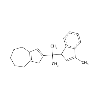 CC1=CC(C(C)(C)C2=CC3=C(CCCCC3)C2)c2ccccc21